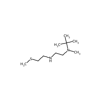 CSCCNCCN(C)C(C)(C)C